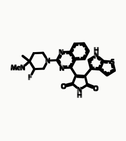 CNC1(C)CCN(c2nc(C3=C(c4c[nH]c5sccc45)C(=O)NC3=O)c3ccccc3n2)CC1F